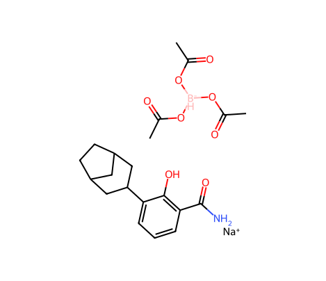 CC(=O)O[BH-](OC(C)=O)OC(C)=O.NC(=O)c1cccc(C2CC3CCC(C3)C2)c1O.[Na+]